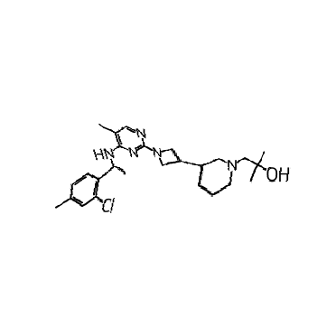 Cc1ccc(C(C)Nc2nc(N3CC(C4CCCN(CC(C)(C)O)C4)C3)ncc2C)c(Cl)c1